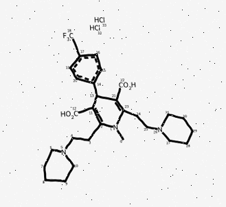 CN1C(CCN2CCCCC2)=C(C(=O)O)C(c2ccc(C(F)(F)F)cc2)C(C(=O)O)=C1CCN1CCCCC1.Cl.Cl